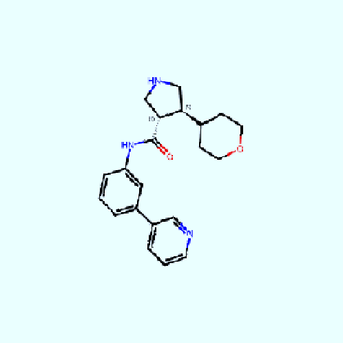 O=C(Nc1cccc(-c2cccnc2)c1)[C@@H]1CNC[C@H]1C1CCOCC1